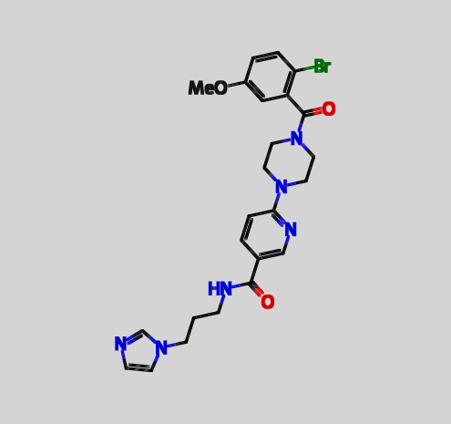 COc1ccc(Br)c(C(=O)N2CCN(c3ccc(C(=O)NCCCn4ccnc4)cn3)CC2)c1